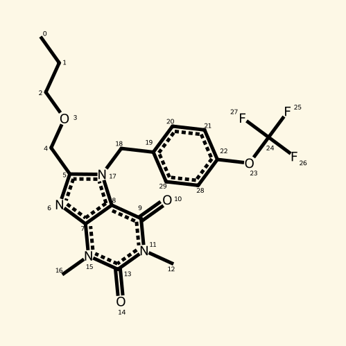 CCCOCc1nc2c(c(=O)n(C)c(=O)n2C)n1Cc1ccc(OC(F)(F)F)cc1